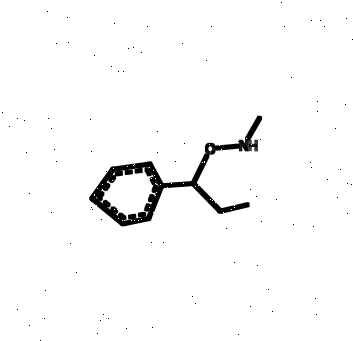 CCC(ONC)c1ccccc1